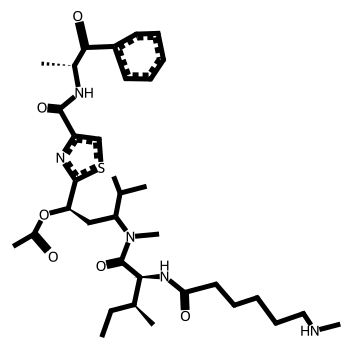 CC[C@H](C)[C@H](NC(=O)CCCCCNC)C(=O)N(C)C(C[C@@H](OC(C)=O)c1nc(C(=O)N[C@H](C)C(=O)c2ccccc2)cs1)C(C)C